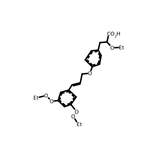 CCOOc1cc(C=CCOc2ccc(CC(OCC)C(=O)O)cc2)cc(OOCC)c1